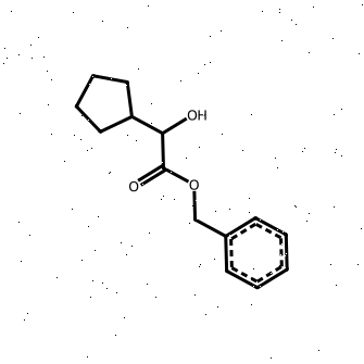 O=C(OCc1ccccc1)C(O)C1CCCC1